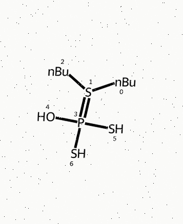 CCCCS(CCCC)=P(O)(S)S